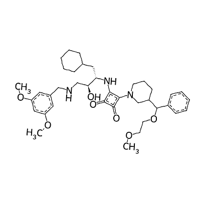 COCCOC(c1ccccc1)C1CCCN(c2c(N[C@@H](CC3CCCCC3)[C@@H](O)CNCc3cc(OC)cc(OC)c3)c(=O)c2=O)C1